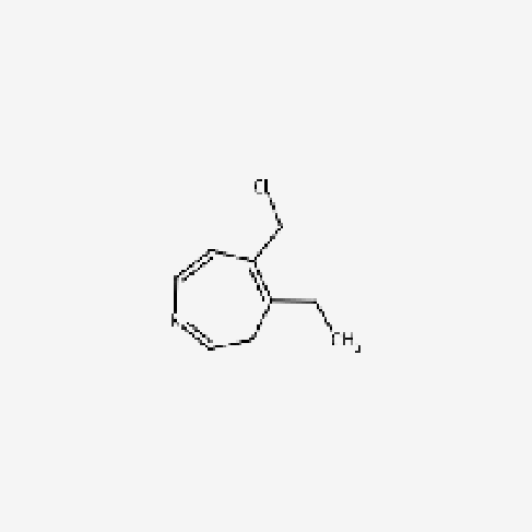 CCC1=C(CCl)C=CN=CC1